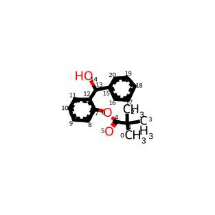 CC(C)(C)C(=O)Oc1ccccc1C(O)c1ccccc1